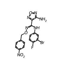 Nc1nonc1/C(=N/OCc1ccc([N+](=O)[O-])cc1)Nc1ccc(F)c(Br)c1